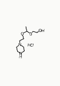 CC(OCCO)OCCN1CCNCC1.Cl